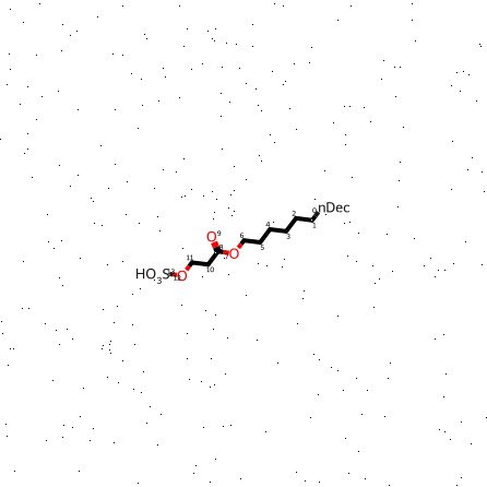 CCCCCCCCCCCCCCCCOC(=O)CCOS(=O)(=O)O